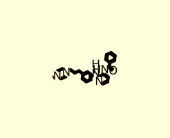 CN1CCN(CCCc2cccc(Nc3ncccc3NC(=O)c3ccccc3)c2)CC1